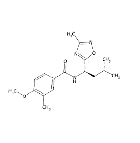 COc1ccc(C(=O)N[C@H](CC(C)C)c2nc(C)no2)cc1C